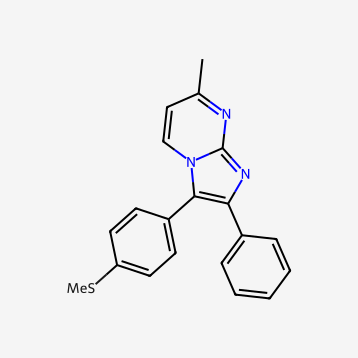 CSc1ccc(-c2c(-c3ccccc3)nc3nc(C)ccn23)cc1